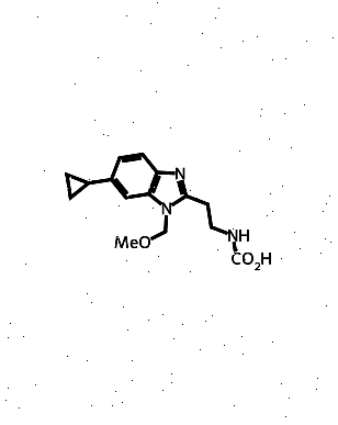 COCn1c(CCNC(=O)O)nc2ccc(C3CC3)cc21